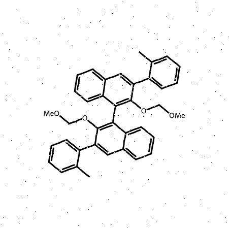 COCOc1c(-c2ccccc2C)cc2ccccc2c1-c1c(OCOC)c(-c2ccccc2C)cc2ccccc12